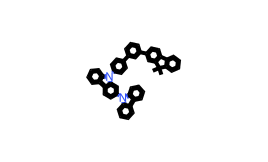 CC1(C)c2ccccc2-c2ccc(-c3cccc(-c4ccc(-n5c6ccccc6c6ccc(-n7c8ccccc8c8ccccc87)cc65)cc4)c3)cc21